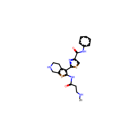 CC(C)NCCC(=O)Nc1sc2c(c1-c1nc(C(=O)Nc3ccccc3)cs1)CCNC2